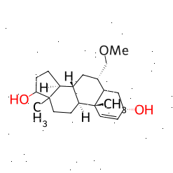 COC[C@H]1C[C@H]2[C@@H]3CCC(O)C3(C)CC[C@@H]2[C@@]2(C)C=C[C@@H](O)CC12